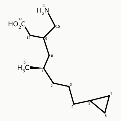 C[C@H](CCCC1CC1)CC(CN)CC(=O)O